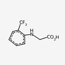 O=C(O)CNc1ccccc1C(F)(F)F